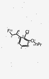 CCCOc1cccc([C](C)CF)c1Cl